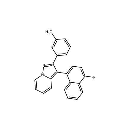 Cc1cccc(-c2nn3ccccc3c2-c2ccc(F)c3ccccc23)n1